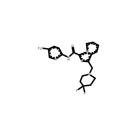 O=C(Nc1ccc(C(F)(F)F)cn1)c1nc(CN2CCC(F)(F)CC2)c2ccccn12